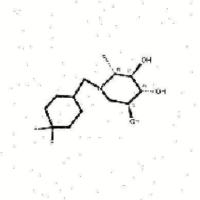 C[C@@H]1[C@@H](O)[C@H](O)[C@@H](O)CN1CC1CCC(F)(F)CC1